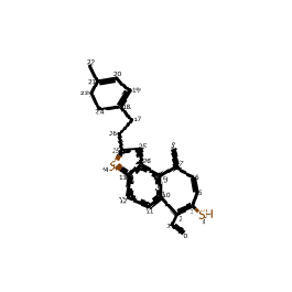 C=CC1=C(S)C=CC(=C)c2c1ccc1sc(CCC3=CC=C(C)CC3)cc21